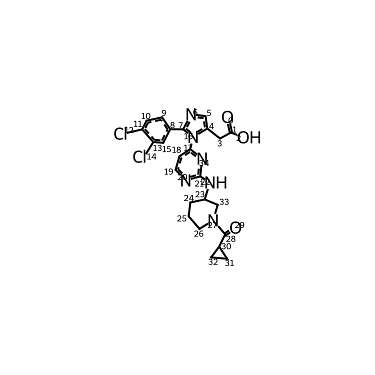 O=C(O)Cc1cnc(-c2ccc(Cl)c(Cl)c2)n1-c1ccnc(NC2CCCN(C(=O)C3CC3)C2)n1